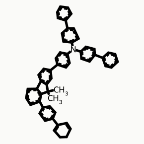 CC1(C)c2cc(-c3ccc(N(c4ccc(-c5ccccc5)cc4)c4ccc(-c5ccccc5)cc4)cc3)ccc2-c2cccc(-c3ccc(C4=CCCC=C4)cc3)c21